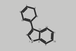 C1=CCCC(c2csc3ccccc23)=C1